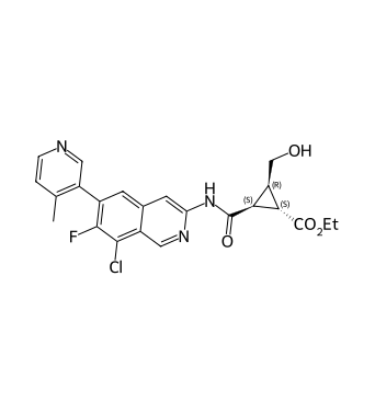 CCOC(=O)[C@H]1[C@H](CO)[C@@H]1C(=O)Nc1cc2cc(-c3cnccc3C)c(F)c(Cl)c2cn1